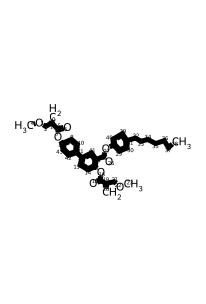 C=C(COC)C(=O)Oc1ccc(-c2ccc(OC(=O)C(=C)COC)c(C(=O)Oc3ccc(CCCCCCC)cc3)c2)cc1